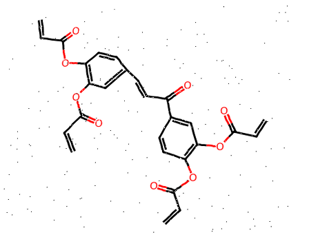 C=CC(=O)Oc1ccc(/C=C/C(=O)c2ccc(OC(=O)C=C)c(OC(=O)C=C)c2)cc1OC(=O)C=C